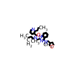 C=C(C)/C=C(\C)N(Cc1nc(N(C)CC2CCOC2)c2ccccc2n1)C(=O)c1cccnc1CCC